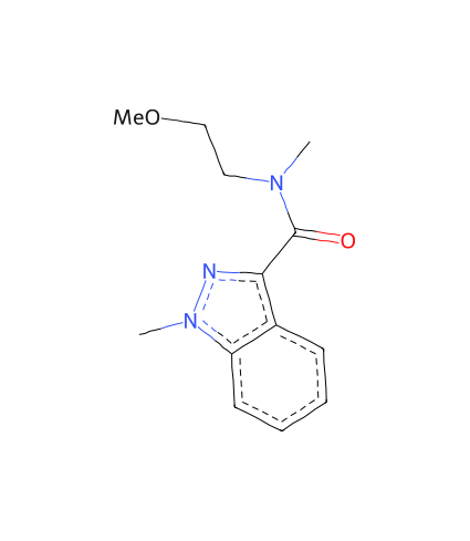 COCCN(C)C(=O)c1nn(C)c2ccccc12